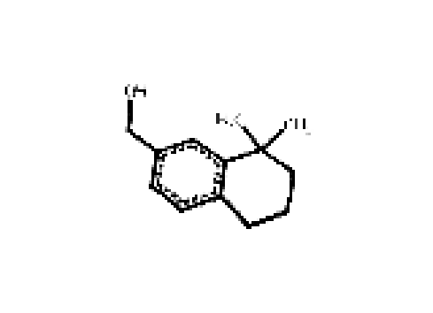 CC1(C)CCCc2ccc(CO)cc21